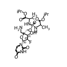 CC(C)OC(=O)C(C)NP(=O)(NC(C)C(=O)OC(C)C)OC[C@@]1(CN)O[C@@H](n2ccc(=O)[nH]c2=O)[C@H](F)[C@@H]1O